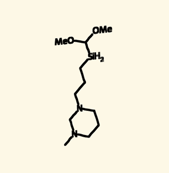 COC(OC)[SiH2]CCCN1CCCN(C)C1